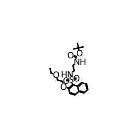 CCOCCOc1ccc2ccccc2c1S(=O)(=O)NCCNC(=O)OC(C)(C)C